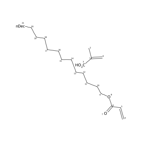 C=C(C)C(=O)O.C=CC(=O)OCCCCCCCCCCCCCCCCCCCCCC